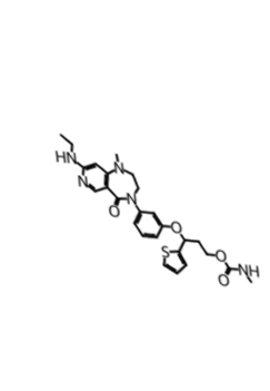 CCNc1cc2c(cn1)C(=O)N(c1cccc(OC(CCOC(=O)NC)c3cccs3)c1)CCN2C